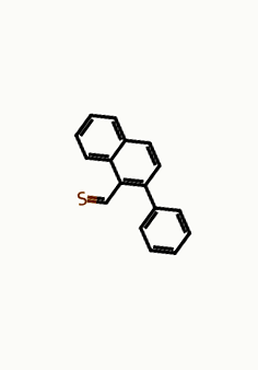 S=Cc1c(-c2ccccc2)ccc2ccccc12